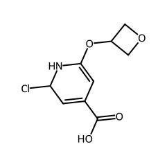 O=C(O)C1=CC(Cl)NC(OC2COC2)=C1